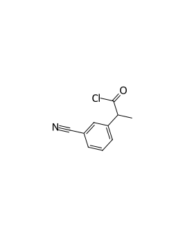 CC(C(=O)Cl)c1cccc(C#N)c1